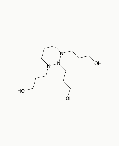 OCCCN1CCCN(CCCO)N1CCCO